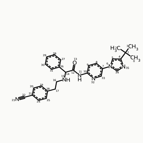 CC(C)(C)c1cn(-c2ccc(NC(=O)C(NCCc3ccc(C#N)cc3)c3ccccc3)nc2)cn1